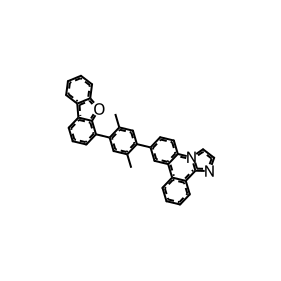 Cc1cc(-c2cccc3c2oc2ccccc23)c(C)cc1-c1ccc2c(c1)c1ccccc1c1nccn21